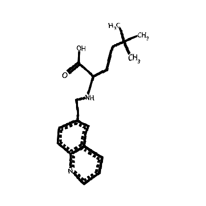 CC(C)(C)CCC(NCc1ccc2ncccc2c1)C(=O)O